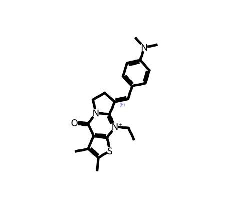 CC[n+]1c2n(c(=O)c3c(C)c(C)sc31)CC/C2=C\c1ccc(N(C)C)cc1